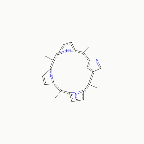 Cc1c2cc(c(C)c3ccc([nH]3)c(C)c3nc(c(C)c4ccc1[nH]4)C=C3)N=C2